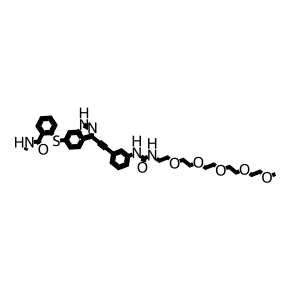 CNC(=O)c1ccccc1Sc1ccc2c(C#Cc3cccc(NC(=O)NCCOCCOCCOCCOCCOC)c3)n[nH]c2c1